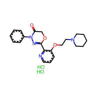 Cl.Cl.O=C1COC(c2ncccc2OCCN2CCCCC2)=NN1c1ccccc1